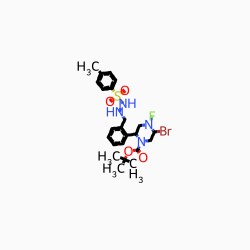 Cc1ccc(S(=O)(=O)NNCc2ccccc2C2CN(F)C(Br)CN2C(=O)OC(C)(C)C)cc1